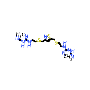 CN=C(NC#N)NCCSCc1cc(CSCCNC(=NC)NC#N)sn1